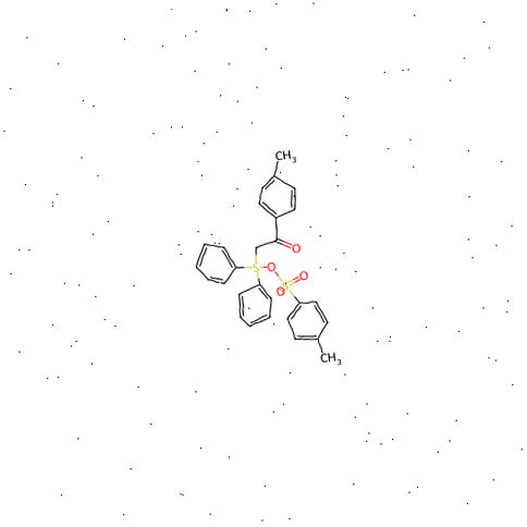 Cc1ccc(C(=O)CS(OS(=O)(=O)c2ccc(C)cc2)(c2ccccc2)c2ccccc2)cc1